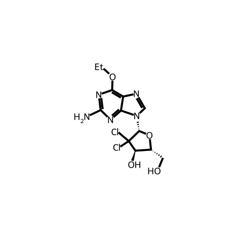 CCOc1nc(N)nc2c1ncn2[C@@H]1O[C@H](CO)[C@@H](O)C1(Cl)Cl